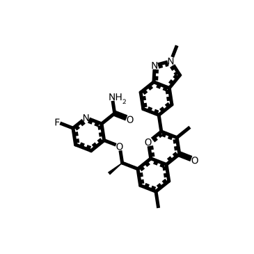 Cc1cc([C@@H](C)Oc2ccc(F)nc2C(N)=O)c2oc(-c3ccc4nn(C)cc4c3)c(C)c(=O)c2c1